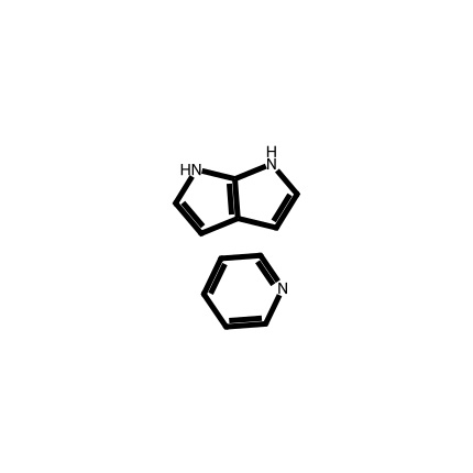 c1cc2cc[nH]c2[nH]1.c1ccncc1